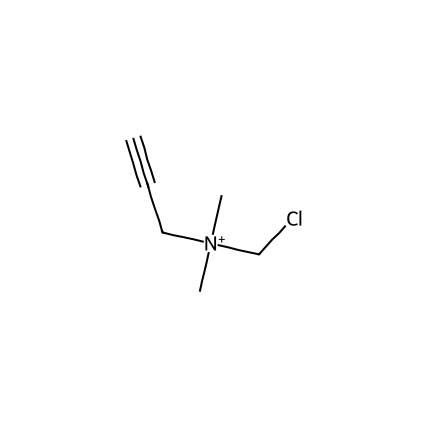 C#CC[N+](C)(C)CCl